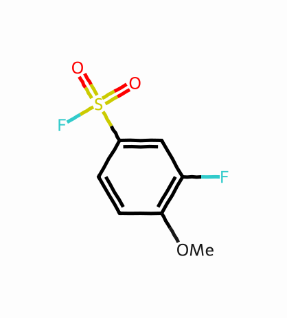 COc1ccc(S(=O)(=O)F)cc1F